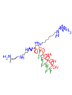 CC(N)CCNCCCCNC(=O)CC(=O)NCCCCCCCCNC=NN.O=C(O)C(F)(F)F.O=C(O)C(F)(F)F.O=C(O)C(F)(F)F